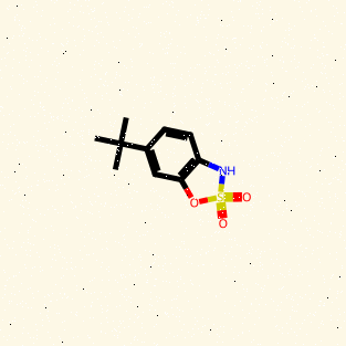 CC(C)(C)c1ccc2c(c1)OS(=O)(=O)N2